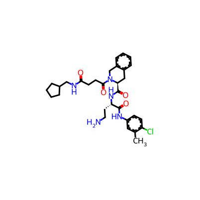 Cc1cc(NC(=O)[C@H](CCN)NC(=O)[C@@H]2Cc3ccccc3CN2C(=O)CCC(=O)NCC2CCCC2)ccc1Cl